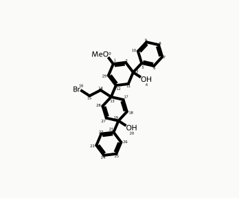 COC1=CC(O)(c2ccccc2)CC(C2(CCBr)C=CC(O)(c3ccccc3)C=C2)=C1